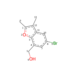 Cc1oc2c(CO)cc(Br)cc2c1C